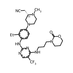 CCc1cc(N2CCN(C)[C@@H](CC#N)C2)ccc1Nc1ncc(C(F)(F)F)c(NCCCN2CCCOC2=O)n1